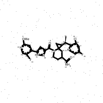 COc1cc(-c2cc(C(=O)N3CCC(C(N)=O)CC34CC4[C@@H](C)c3ncc(F)cc3Cl)n[nH]2)c(F)cn1